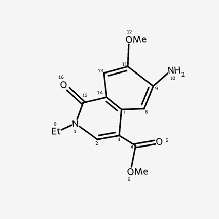 CCn1cc(C(=O)OC)c2cc(N)c(OC)cc2c1=O